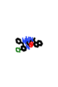 CC(NC(=O)NC1N=C(C2C=CC=CC2)c2cc(Cl)ccc2N(C)C1=O)c1cccc2ccccc12